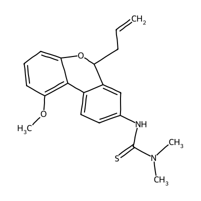 C=CCC1Oc2cccc(OC)c2-c2ccc(NC(=S)N(C)C)cc21